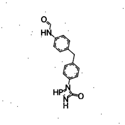 O=CNc1ccc(Cc2ccc(-n3[pH][nH]c3=O)cc2)cc1